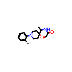 CCc1ccccc1N1CCC2(CC1)OCC(=O)NC2C